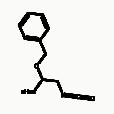 CCCCCCC(CN=C=O)OCc1ccccc1